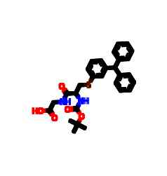 CC(C)(C)OC(=O)NC(CSc1cccc(C(c2ccccc2)c2ccccc2)c1)C(=O)NCC(=O)O